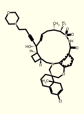 C[C@@H]1[C@@H](C)C/C=C/[C@](O)(C#CCCN2CCOCC2)[C@@H]2CC[C@H]2CN2C[C@@]3(CCCC4=CC(Cl)=CCC43C)COc3ccc(cc32)C(=O)NS1(=O)=O